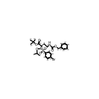 CC(C)ON([C@H](CCNC(=O)OCc1ccccc1)C(=O)OC(C)(C)C)S(=O)(=O)c1ccc(Br)cc1